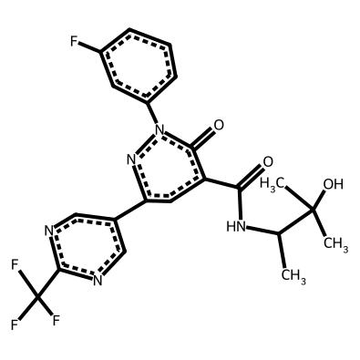 CC(NC(=O)c1cc(-c2cnc(C(F)(F)F)nc2)nn(-c2cccc(F)c2)c1=O)C(C)(C)O